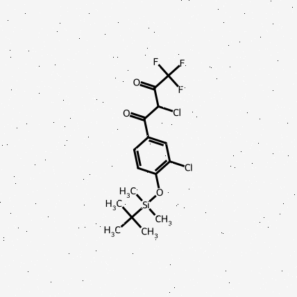 CC(C)(C)[Si](C)(C)Oc1ccc(C(=O)C(Cl)C(=O)C(F)(F)F)cc1Cl